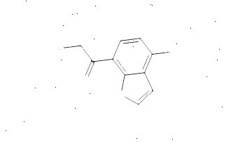 O=C(CBr)c1ccc(Cl)c2ccoc12